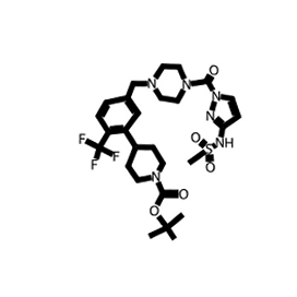 CC(C)(C)OC(=O)N1CCC(c2cc(CN3CCN(C(=O)n4ccc(NS(C)(=O)=O)n4)CC3)ccc2C(F)(F)F)CC1